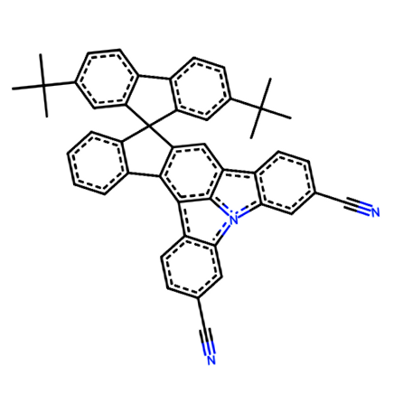 CC(C)(C)c1ccc2c(c1)C1(c3cc(C(C)(C)C)ccc3-2)c2ccccc2-c2c1cc1c3ccc(C#N)cc3n3c4cc(C#N)ccc4c2c13